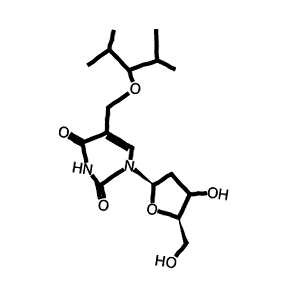 CC(C)C(OCc1cn([C@H]2CC(O)[C@@H](CO)O2)c(=O)[nH]c1=O)C(C)C